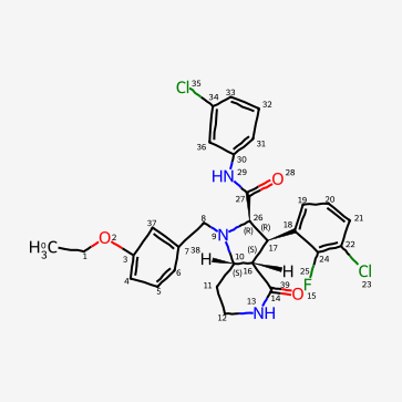 CCOc1cccc(CN2[C@H]3CCNC(=O)[C@H]3[C@H](c3cccc(Cl)c3F)[C@@H]2C(=O)Nc2cccc(Cl)c2)c1